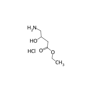 CCOC(=O)CC(O)CN.Cl